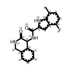 Cc1ccc(F)c2cc(C(=O)NC3C(=O)NCc4ccccc43)[nH]c12